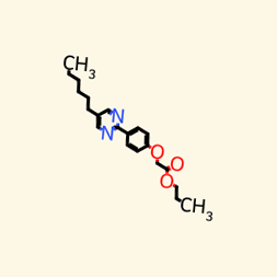 CCCCCCc1cnc(-c2ccc(OCC(=O)OCCC)cc2)nc1